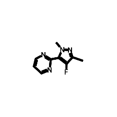 Cc1nn(C)c(-c2ncccn2)c1F